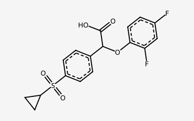 O=C(O)C(Oc1ccc(F)cc1F)c1ccc(S(=O)(=O)C2CC2)cc1